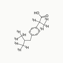 [2H]C([2H])([2H])C(Cc1ccc(C([2H])(C(=O)O)C([2H])([2H])[2H])cc1)C([2H])([2H])[2H]